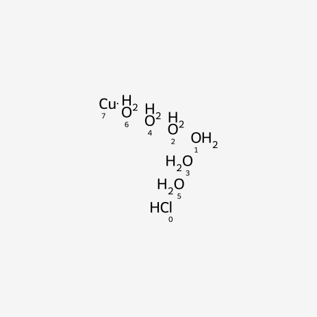 Cl.O.O.O.O.O.O.[Cu]